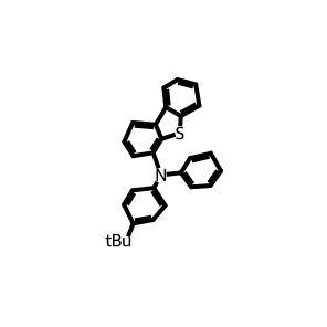 CC(C)(C)c1ccc(N(c2ccccc2)c2cccc3c2sc2ccccc23)cc1